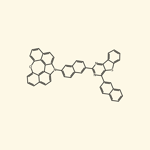 c1ccc2cc(-c3nc(-c4ccc5cc(-n6c7ccc8cccc9oc%10cccc%11ccc6c(c%11%10)c7c89)ccc5c4)nc4c3sc3ccccc34)ccc2c1